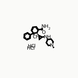 CN1CCC(NC2CC2[C@@H]2C(C(N)=O)=CC=CC2(c2ccccc2)C(F)(F)F)CC1.Cl.Cl